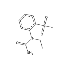 CCN(C(N)=O)c1ccccc1S(C)(=O)=O